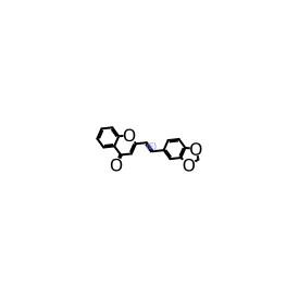 O=c1cc(/C=C/c2ccc3c(c2)OCO3)oc2ccccc12